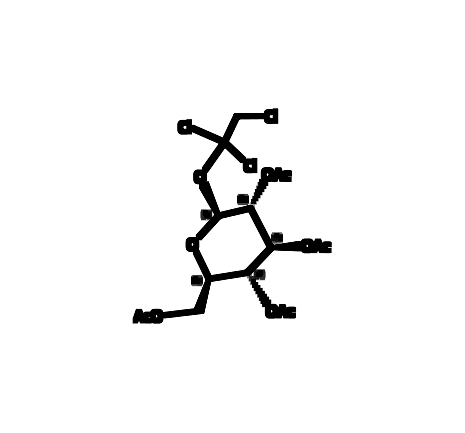 CC(=O)OC[C@H]1O[C@@H](OC(Cl)(Cl)CCl)[C@H](OC(C)=O)[C@@H](OC(C)=O)[C@@H]1OC(C)=O